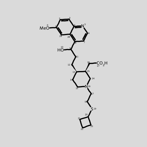 COc1ccc2nccc(C(O)CC[C@@H]3CCN(CCSC4CCC4)C[C@@H]3CC(=O)O)c2c1